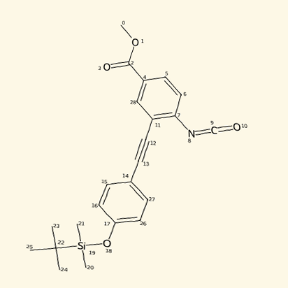 COC(=O)c1ccc(N=C=O)c(C#Cc2ccc(O[Si](C)(C)C(C)(C)C)cc2)c1